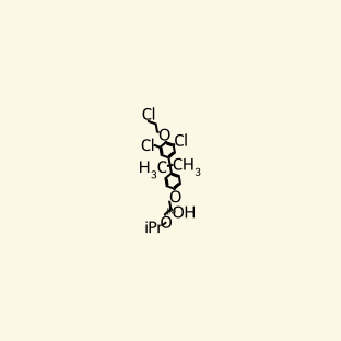 CC(C)OC[C@@H](O)COc1ccc(C(C)(C)c2cc(Cl)c(OCCCCl)c(Cl)c2)cc1